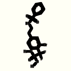 CCOP(=O)(OCC)C(F)(F)c1ccc(CCNS(=O)(=O)c2ccccc2)cc1Br